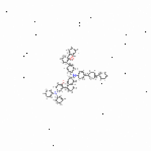 c1ccc(-c2ccc(-c3ccc(N(c4ccc(-c5cccc6c5oc5ccccc56)cc4)c4cc5c6c(cccc6c4)-c4cc(N(c6ccccc6)c6ccccc6)ccc4O5)cc3)cc2)cc1